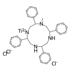 CN1CC(c2ccccc2)NCC(c2ccccc2)NCC(c2ccccc2)[N]([Ti+3])CC1c1ccccc1.[Cl-].[Cl-].[Cl-]